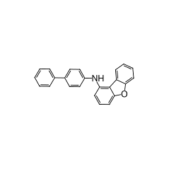 c1ccc(-c2ccc(Nc3cccc4oc5ccccc5c34)cc2)cc1